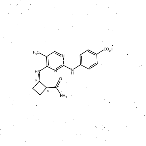 NC(=O)[C@H]1CC[C@H]1Nc1nc(Nc2ccc(C(=O)O)cc2)ncc1C(F)(F)F